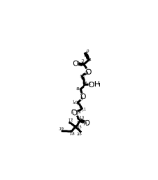 C=CC(=O)OCC(O)COCCOC(=O)C(C)(C)CC